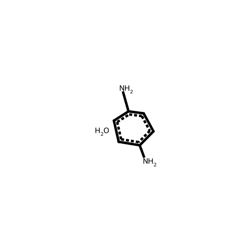 Nc1ccc(N)cc1.O